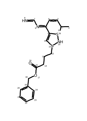 CC(C)/C=C\C(=N/C=N)C1=CN(CCCC(=O)OCc2ccccc2)NS1